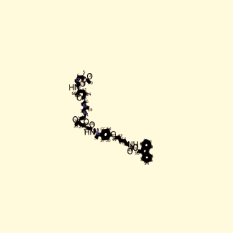 CC(=O)O[C@@H](C)/C=C\C(=O)N[C@@H]1C[C@H](C)[C@H](C/C=C(C)/C=C/[C@@H]2C[C@]3(CO3)C[C@@H](CC(=O)N/N=C(\C)c3ccc(OCCCCCNC(=O)OCC4c5ccccc5-c5ccccc54)cc3)O2)O[C@@H]1C